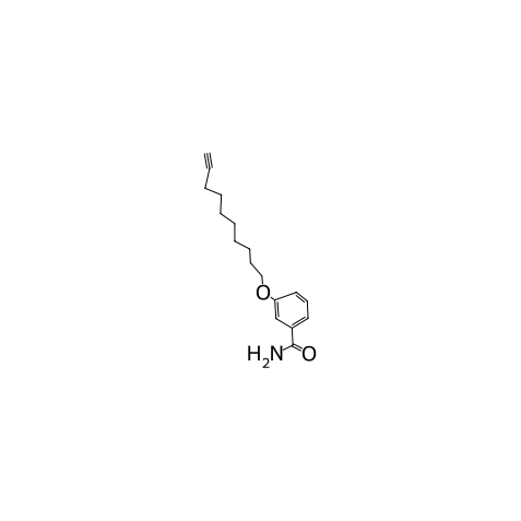 C#CCCCCCCCCOc1cccc(C(N)=O)c1